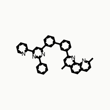 Cc1ccc2ccc3c(C)cc(-c4cccc(-c5cccc(-c6cc(-c7ccccn7)nc(-c7ccccc7)n6)c5)c4)nc3c2n1